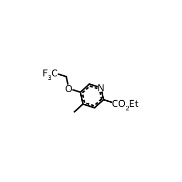 CCOC(=O)c1cc(C)c(OCC(F)(F)F)cn1